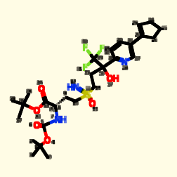 CC(C)(C)OC(=O)N[C@@H](CCS(=N)(=O)CCC(O)(c1ccc(C2=CCCC2)cn1)C(F)(F)F)C(=O)OC(C)(C)C